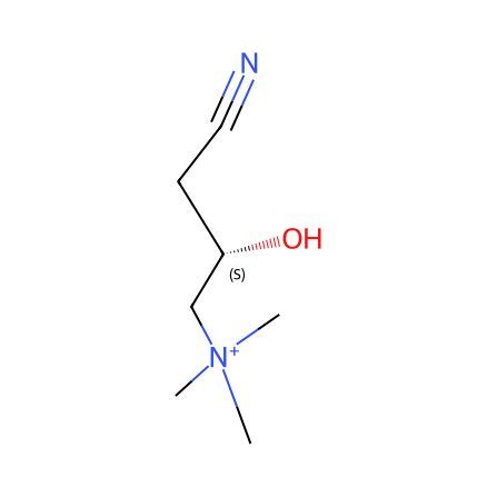 C[N+](C)(C)C[C@@H](O)CC#N